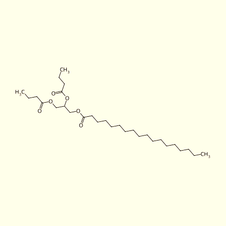 CCCCCCCCCCCCCCCCCC(=O)OCC(COC(=O)CCC)OC(=O)CCC